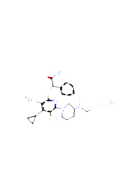 N#Cc1c(SC(C(N)=O)c2ccccc2)nc(N2CCCC(NCC(=O)O)C2)c(C#N)c1C1CC1